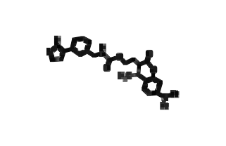 CCN(CC)c1ccc2c(c1)OC(=O)C(CCOC(=O)NCc1cccc(-c3ccn[nH]3)c1)C2C